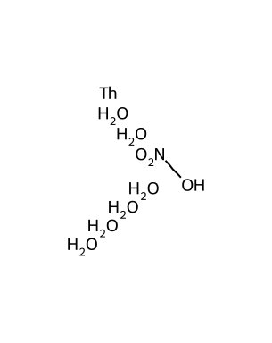 O.O.O.O.O.O.O=[N+]([O-])O.[Th]